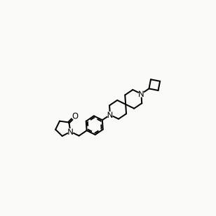 O=C1CCCN1Cc1ccc(N2CCC3(CC2)CCN(C2CCC2)CC3)cc1